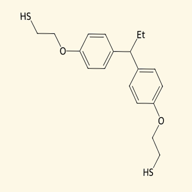 CCC(c1ccc(OCCS)cc1)c1ccc(OCCS)cc1